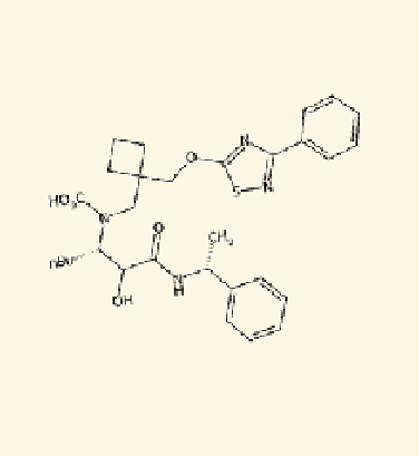 CCCC[C@@H](C(O)C(=O)N[C@H](C)c1ccccc1)N(CC1(COc2nc(-c3ccccc3)ns2)CCC1)C(=O)O